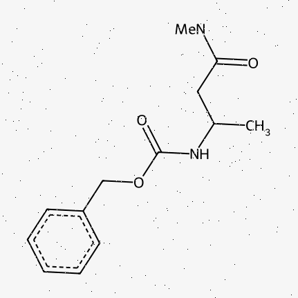 CNC(=O)CC(C)NC(=O)OCc1ccccc1